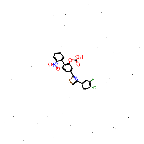 O=C(O)Oc1cc(-c2nc(-c3ccc(F)c(F)c3)cs2)ccc1-c1ccccc1[N+](=O)[O-]